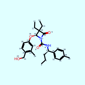 CCC[C@@H](NC(=O)N1C(=O)C(CC)(CC)[C@@H]1Oc1ccc(CO)c(C)c1)c1ccc(C)cc1